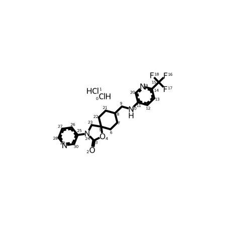 Cl.Cl.O=C1OC2(CCC(CNc3ccc(C(F)(F)F)nc3)CC2)CN1c1cccnc1